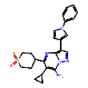 Nc1c(C2CC2)c(C2CCS(=O)(=O)CC2)nc2c(-c3ccn(-c4ccccc4)c3)cnn12